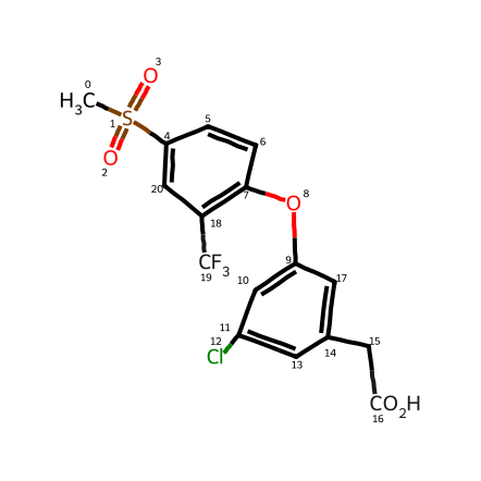 CS(=O)(=O)c1ccc(Oc2cc(Cl)cc(CC(=O)O)c2)c(C(F)(F)F)c1